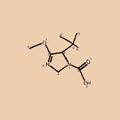 COC1=NCN(C(=O)O)C1C(C)(C)C